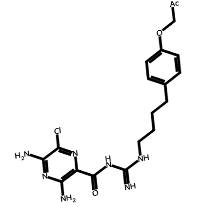 CC(=O)COc1ccc(CCCCNC(=N)NC(=O)c2nc(Cl)c(N)nc2N)cc1